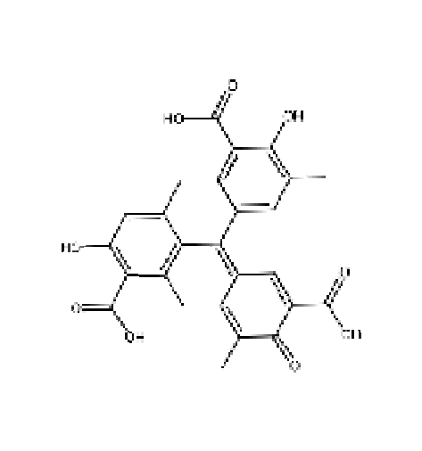 CC1=CC(=C(c2cc(C)c(O)c(C(=O)O)c2)c2c(C)cc(O)c(C(=O)O)c2C)C=C(C(=O)O)C1=O